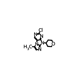 Cc1cnc2n(C3CCOCC3)c3nc(Cl)ncc3n12